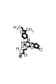 CCc1oc2ccc(/N=c3\[nH]c(=O)n(C[C@H](C)C(=O)N=O)c(=O)n3Cc3ccc(Cl)cc3)cc2c1C